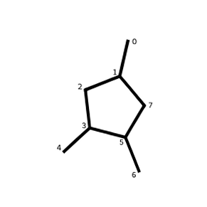 CC1CC(C)C(C)C1